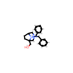 OCC12CCC(CN(Cc3ccccc3)C1)N2Cc1ccccc1